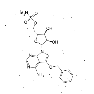 Nc1ncnc2c1c(OCc1ccccc1)nn2[C@@H]1O[C@H](COS(N)(=O)=O)[C@@H](O)[C@H]1O